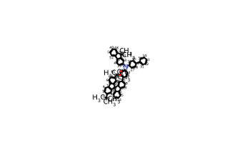 CC(C)(C)c1ccc2c(c1)C1(c3ccccc3-c3ccc(-c4ccc(N(c5ccc(-c6ccccc6)cc5)c5ccc6c(c5)C(C)(C)c5ccccc5-6)cc4)cc31)c1cc(C(C)(C)C)ccc1-2